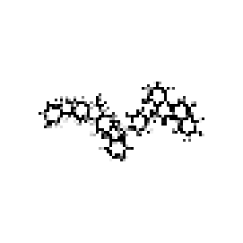 CC1(C)c2cc3oc4ccccc4c3cc2-c2cc3c4ccccc4n(-c4ccc(-c5cc6c7ccccc7ccc6c6ccccc56)cc4)c3cc21